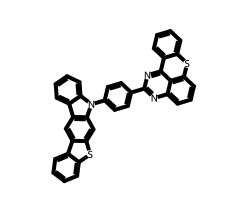 c1ccc2c(c1)Sc1cccc3nc(-c4ccc(-n5c6ccccc6c6cc7c(cc65)sc5ccccc57)cc4)nc-2c13